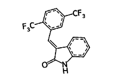 O=C1Nc2ccccc2C1=Cc1cc(C(F)(F)F)ccc1C(F)(F)F